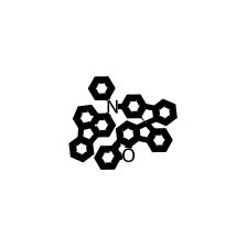 c1ccc(N(c2ccc3c(c2)[C@]2(c4ccccc4-3)c3ccccc3-c3c2ccc2c3oc3ccccc32)c2ccc3c4c(cccc24)-c2ccccc2-3)cc1